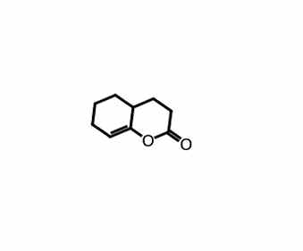 O=C1CCC2CCCC=C2O1